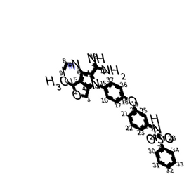 CC1OCc2c1c(/N=C\I)c(C(=N)N)n2-c1ccc(Oc2cccc(NS(=O)(=O)c3ccccc3)c2)cc1